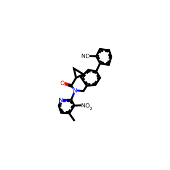 Cc1ccnc(N(Cc2ccc(-c3ccccc3C#N)cc2)C(=O)C2CC2)c1[N+](=O)[O-]